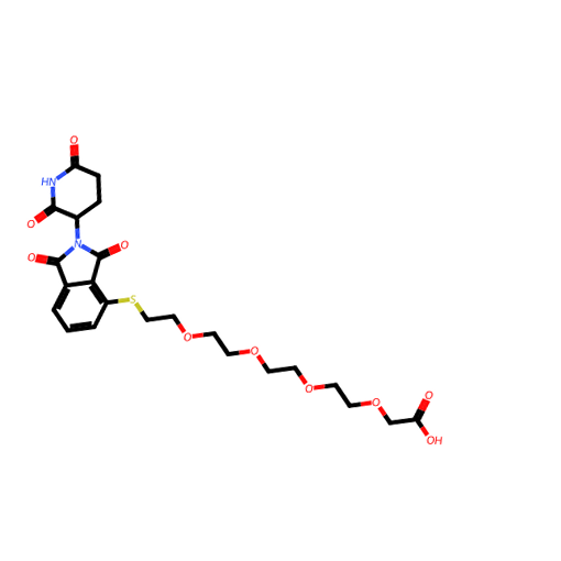 O=C(O)COCCOCCOCCOCCSc1cccc2c1C(=O)N(C1CCC(=O)NC1=O)C2=O